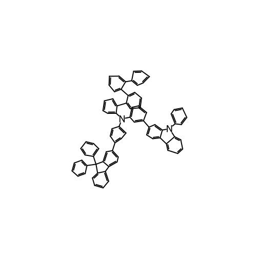 c1ccc(-c2ccccc2-c2ccccc2-c2ccccc2N(c2ccc(-c3ccc4c(c3)C(c3ccccc3)(c3ccccc3)c3ccccc3-4)cc2)c2cccc(-c3ccc4c5ccccc5n(-c5ccccc5)c4c3)c2)cc1